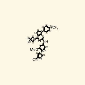 COc1cc(Nc2nc3c(c(N4CC(F)(F)C4)n2)CC[C@H]3c2ccc(OC(F)(F)F)cc2)ccc1-n1cnc(Cl)c1